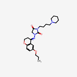 CCCOc1ccc2c(c1)/C(=N/N1CC(=O)N(CCCCN3CCCCC3)C1=O)CCO2